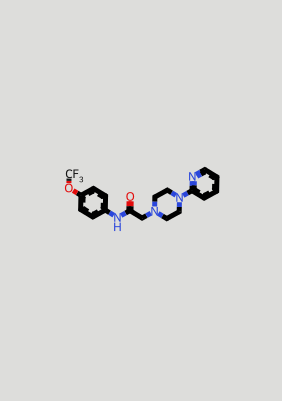 O=C(CN1CCN(c2ccccn2)CC1)Nc1ccc(OC(F)(F)F)cc1